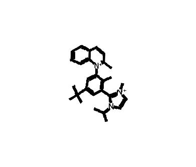 Cc1c(-c2n(C(C)C)cc[n+]2C)cc(C(C)(C)C)cc1-[n+]1c(C)ccc2ccccc21